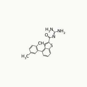 Cc1ccc(C)c(-c2cccc3sc(C(=O)N=C(N)N)cc23)c1